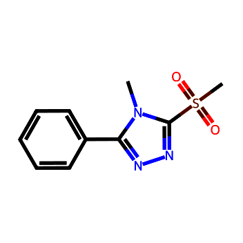 Cn1c(-c2ccccc2)nnc1S(C)(=O)=O